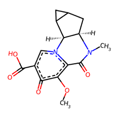 COc1c2n(cc(C(=O)O)c1=O)[C@H]1C3CC3C[C@H]1N(C)C2=O